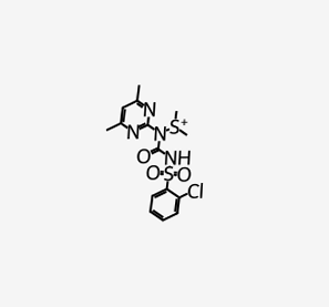 Cc1cc(C)nc(N(C(=O)NS(=O)(=O)c2ccccc2Cl)[S+](C)C)n1